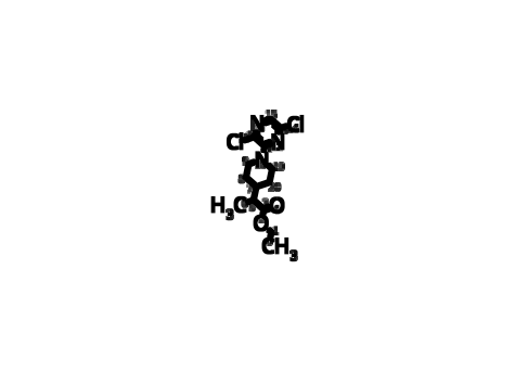 CCOC(=O)C(C)C1CCN(c2nc(Cl)cnc2Cl)CC1